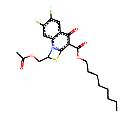 CCCCCCCCOC(=O)c1c2n(c3cc(F)c(F)cc3c1=O)C(COC(C)=O)S2